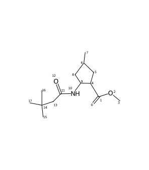 C=C(OC)C1CC(C)CC1NC(=O)CC(C)(C)C